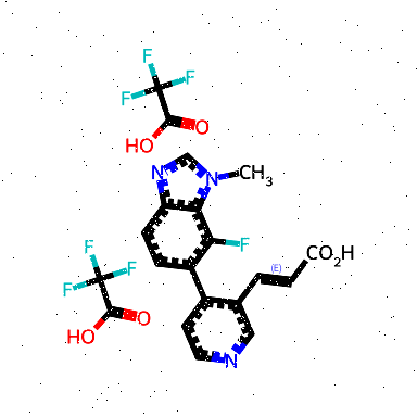 Cn1cnc2ccc(-c3ccncc3/C=C/C(=O)O)c(F)c21.O=C(O)C(F)(F)F.O=C(O)C(F)(F)F